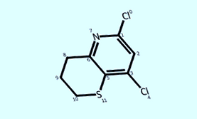 Clc1cc(Cl)c2c(n1)CCCS2